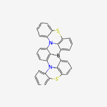 c1ccc2c(c1)Sc1cccc3c1N2c1cccc2c1B3c1cccc3c1N2c1ccccc1S3